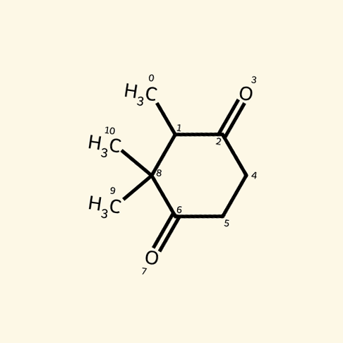 CC1C(=O)CCC(=O)C1(C)C